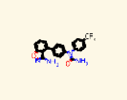 NC(=O)N(c1ccc(-c2cccc3onc(N)c23)cc1)c1ccc(C(F)(F)F)cc1